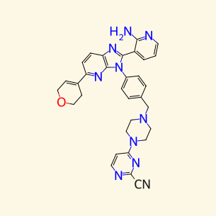 N#Cc1nccc(N2CCN(Cc3ccc(-n4c(-c5cccnc5N)nc5ccc(C6=CCOCC6)nc54)cc3)CC2)n1